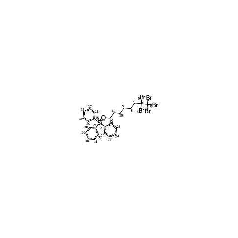 BrC(Br)(Br)C(Br)(Br)CCCCCCO[Si](c1ccccc1)(c1ccccc1)c1ccccc1